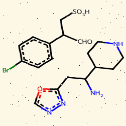 NC(Cc1nnco1)C1CCNCC1.O=CC(CS(=O)(=O)O)c1ccc(Br)cc1